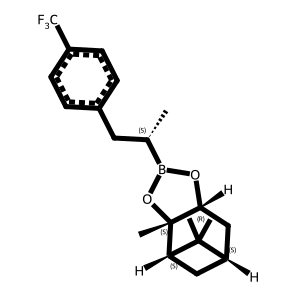 C[C@@H](Cc1ccc(C(F)(F)F)cc1)B1O[C@@H]2C[C@@H]3C[C@@H](C3(C)C)[C@]2(C)O1